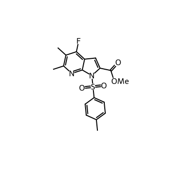 COC(=O)c1cc2c(F)c(C)c(C)nc2n1S(=O)(=O)c1ccc(C)cc1